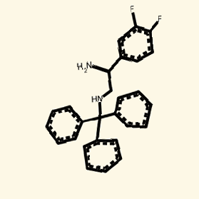 NC(CNC(c1ccccc1)(c1ccccc1)c1ccccc1)c1ccc(F)c(F)c1